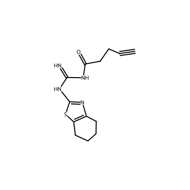 C#CCCC(=O)NC(=N)Nc1nc2c(s1)CCCC2